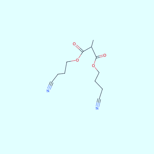 CC(C(=O)OCCCC#N)C(=O)OCCCC#N